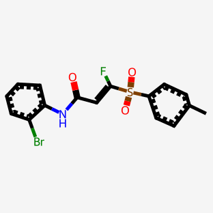 Cc1ccc(S(=O)(=O)C(F)=CC(=O)Nc2ccccc2Br)cc1